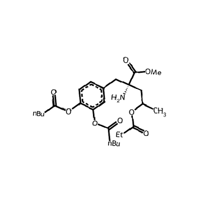 CCCCC(=O)Oc1ccc(C[C@](N)(CC(C)OC(=O)CC)C(=O)OC)cc1OC(=O)CCCC